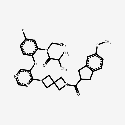 CCN(C(=O)C(C)C)c1cc(F)ccc1Oc1cncnc1N1CC2(CN(C(=O)C3Cc4ccc(SC)cc4C3)C2)C1